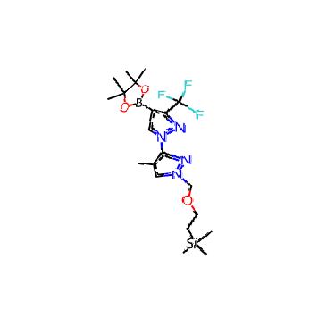 Cc1cn(COCC[Si](C)(C)C)nc1-n1cc(B2OC(C)(C)C(C)(C)O2)c(C(F)(F)F)n1